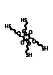 O=C1[C@@H](COCCCS)N(OCCCS)C(=O)[C@@H](COCCCS)N1OCCCS